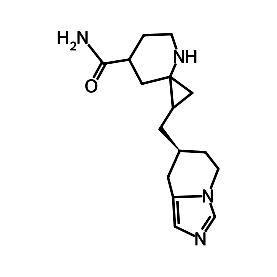 NC(=O)C1CCNC2(C1)CC2C[C@H]1CCn2cncc2C1